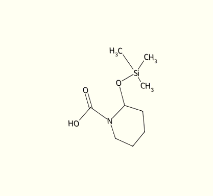 C[Si](C)(C)OC1CCCCN1C(=O)O